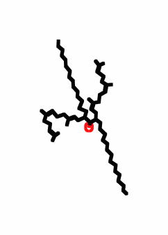 CCCCCCCCCCCCCCCC(CC=C(C)CCC=C(C)CCC=C(C)C)C(=O)C(CC=C(C)CCC=C(C)CCC=C(C)C)CCCCCCCCCCCCCCC